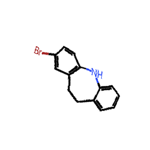 Brc1ccc2c(c1)CCc1ccccc1N2